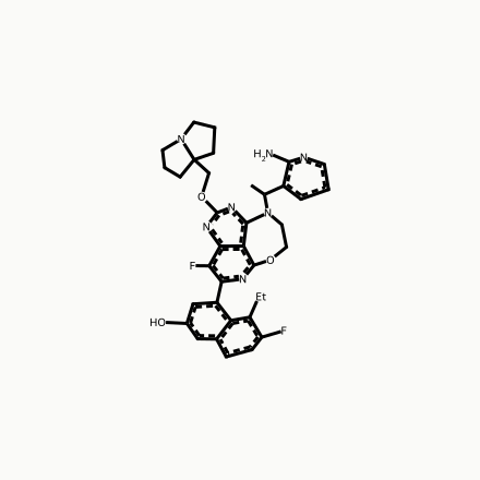 CCc1c(F)ccc2cc(O)cc(-c3nc4c5c(nc(OCC67CCCN6CCC7)nc5c3F)N(C(C)c3cccnc3N)CCO4)c12